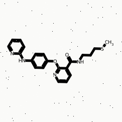 CSCCCNC(=O)c1cccnc1Oc1ccc(Nc2ccccn2)cc1